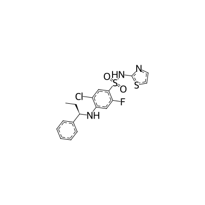 CC[C@@H](Nc1cc(F)c(S(=O)(=O)Nc2nccs2)cc1Cl)c1ccccc1